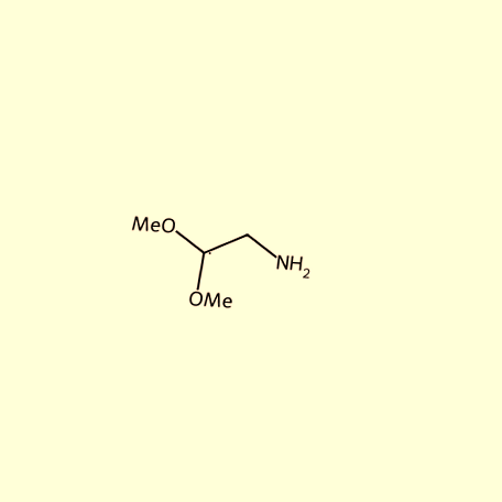 CO[C](CN)OC